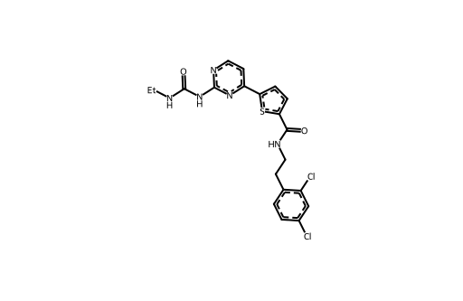 CCNC(=O)Nc1nccc(-c2ccc(C(=O)NCCc3ccc(Cl)cc3Cl)s2)n1